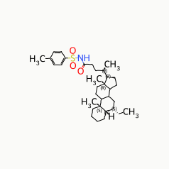 CC[C@H]1CC2C3CC[C@H]([C@H](C)CCC(=O)NS(=O)(=O)c4ccc(C)cc4)[C@@]3(C)CCC2[C@@]2(C)CCCC[C@@H]12